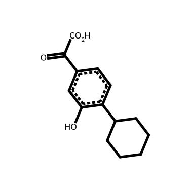 O=C(O)C(=O)c1ccc(C2CCCCC2)c(O)c1